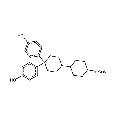 CCCCCC1CCC(C2CCC(c3ccc(O)cc3)(c3ccc(O)cc3)CC2)CC1